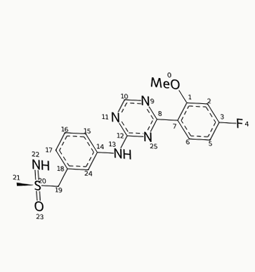 COc1cc(F)ccc1-c1ncnc(Nc2cccc(C[S@@](C)(=N)=O)c2)n1